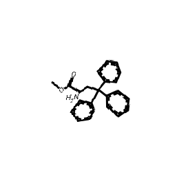 COC(=O)[C@@H](N)CC(c1ccccc1)(c1ccccc1)c1ccccc1